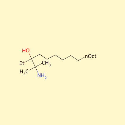 CCCCCCCCCCCCCCC(O)(CC)C(C)(C)N